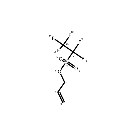 C=CCOS(=O)(=O)C(F)(F)C(F)(F)F